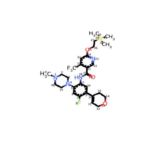 CN1CCN(c2cc(F)c(C3=CCOCC3)cc2NC(=O)c2cnc(OCCS(C)(C)C)cc2C(F)(F)F)CC1